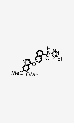 CCc1nnc(NC(=O)c2cccc3cc(Oc4ccnc5cc(OC)c(OC)cc45)ccc23)s1